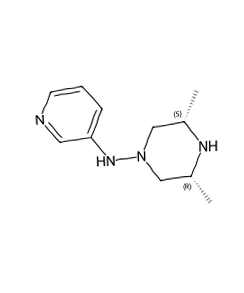 C[C@@H]1CN(Nc2cccnc2)C[C@H](C)N1